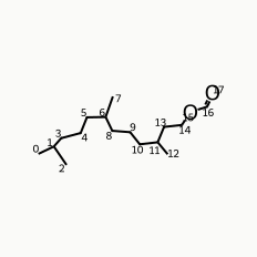 CC(C)CCCC(C)CCCC(C)CCOC=O